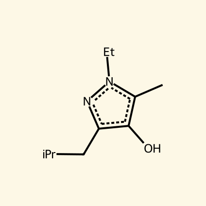 CCn1nc(CC(C)C)c(O)c1C